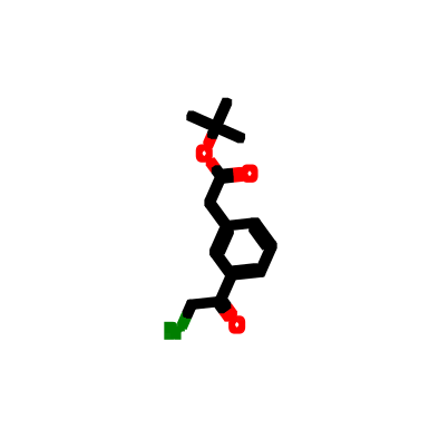 CC(C)(C)OC(=O)Cc1cccc(C(=O)CBr)c1